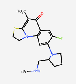 CCCNCC1CCCN1c1cc2c(cc1F)c(=O)c(C(=O)O)c1n2CCS1